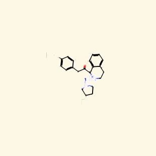 O=C(Cc1ccc(C(F)(F)F)cc1)[C@]1(CN2CC[C@H](F)C2)NCCc2ccccc21